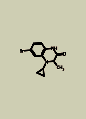 CC1C(=O)Nc2ccc(Br)cc2N1C1CC1